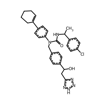 CC(NC(=O)N(Cc1ccc(C(O)Cc2nn[nH]n2)cc1)c1ccc(C2=CCCCC2)cc1)c1ccc(Cl)cc1